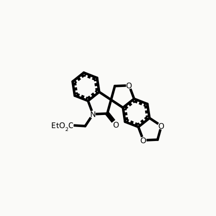 CCOC(=O)CN1C(=O)C2(COc3cc4c(cc32)OCO4)c2ccccc21